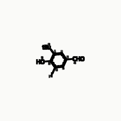 CC(C)(C)c1cc(C=O)cc(I)c1O